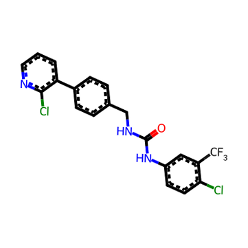 O=C(NCc1ccc(-c2cccnc2Cl)cc1)Nc1ccc(Cl)c(C(F)(F)F)c1